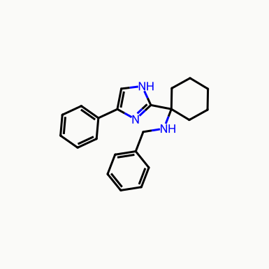 c1ccc(CNC2(c3nc(-c4ccccc4)c[nH]3)CCCCC2)cc1